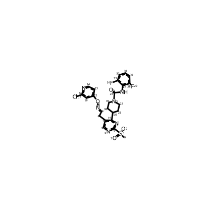 CS(=O)(=O)c1ncc(CC=NOc2ccnc(Cl)c2)c(C2CCN(C(=O)Nc3c(F)cccc3F)CC2)n1